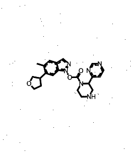 Cc1cc2cnn(OC(=O)N3CCNCC3c3ccncn3)c2cc1C1CCOC1